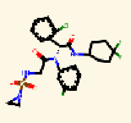 O=C(NC1CCC(F)(F)CC1)[C@@H](c1ccccc1Cl)N(C(=O)CNS(=O)(=O)N1CC1)c1cccc(F)c1